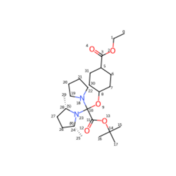 CCOC(=O)C1CCC(OC(C(=O)OC(C)(C)C)(N2CCCC2)N2[C@H](C)CC[C@@H]2C)CC1